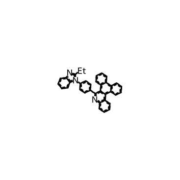 CCc1nc2ccccc2n1-c1ccc(-c2nc3ccccc3c3c4ccccc4c4ccccc4c23)cc1